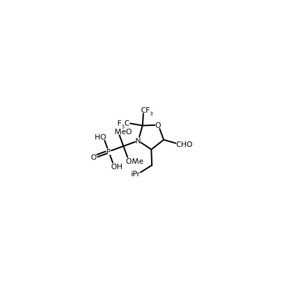 COC(OC)(N1C(CC(C)C)C(C=O)OC1(C(F)(F)F)C(F)(F)F)P(=O)(O)O